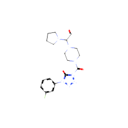 O=CC(N1CCCC1)N1CCN(C(=O)n2nnn(-c3cccc(F)c3)c2=O)CC1